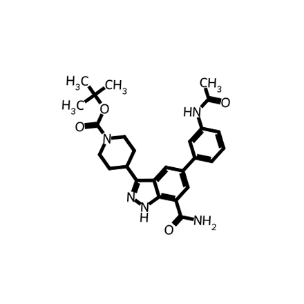 CC(=O)Nc1cccc(-c2cc(C(N)=O)c3[nH]nc(C4CCN(C(=O)OC(C)(C)C)CC4)c3c2)c1